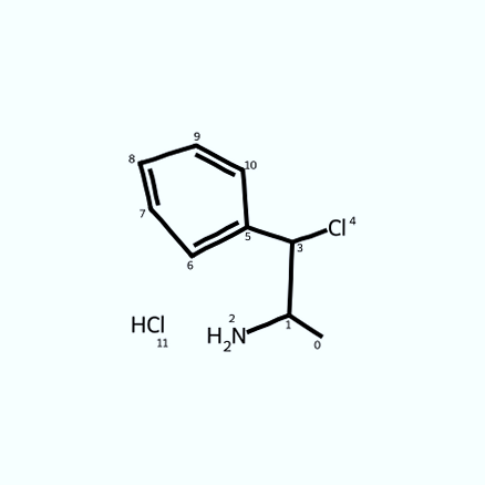 CC(N)C(Cl)c1ccccc1.Cl